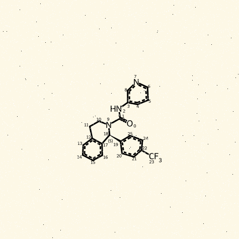 O=C(Nc1cccnc1)N1CCc2ccccc2[C@@H]1c1ccc(C(F)(F)F)cc1